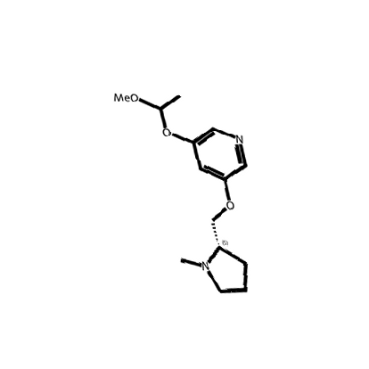 COC(C)Oc1cncc(OC[C@@H]2CCCN2C)c1